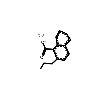 CCCc1ccc2ccccc2c1C(=O)[O-].[Na+]